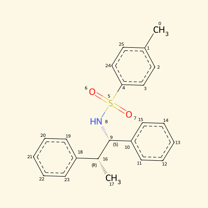 Cc1ccc(S(=O)(=O)N[C@H](c2ccccc2)[C@H](C)c2ccccc2)cc1